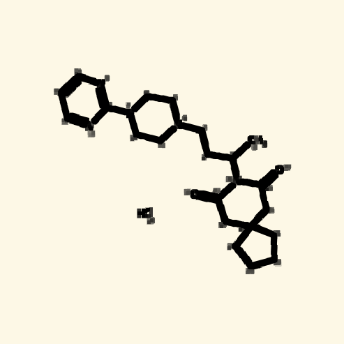 CC(CCN1CCN(c2ncccn2)CC1)N1C(=O)CC2(CCCC2)CC1=O.Cl